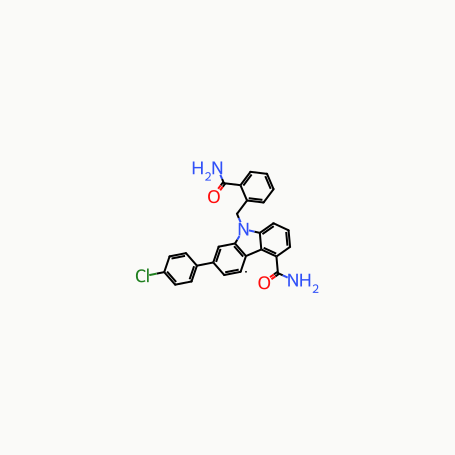 NC(=O)c1ccccc1Cn1c2cc(-c3ccc(Cl)cc3)c[c]c2c2c(C(N)=O)cccc21